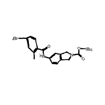 Cc1cc(Br)ccc1C(=O)Nc1ccc2c(c1)CN(C(=O)OC(C)(C)C)C2